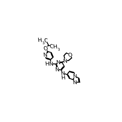 CC(C)Oc1ccc(Nc2nc(Nc3ccn4ccnc4c3)cc(N3CCOCC3)n2)cn1